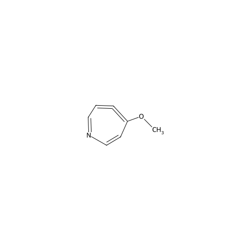 COC1=C=CC=NC=C1